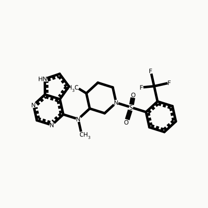 CC1CCN(S(=O)(=O)c2ccccc2C(F)(F)F)CC1N(C)c1ncnc2[nH]ccc12